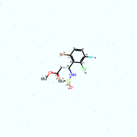 CC(C)(C)OC(=O)C[C@@H](N[S@@+]([O-])C(C)(C)C)c1c(Br)ccc(F)c1Cl